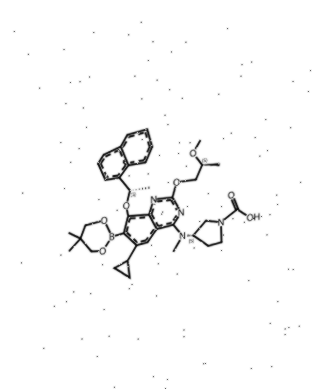 CO[C@@H](C)COc1nc(N(C)[C@H]2CCN(C(=O)O)C2)c2cc(C3CC3)c(B3OCC(C)(C)CO3)c(O[C@@H](C)c3cccc4ccccc34)c2n1